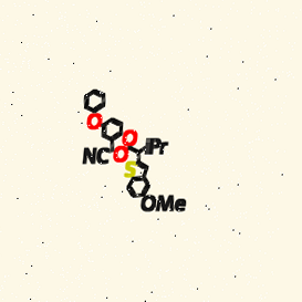 COc1ccc2sc(C(C(=O)OC(C#N)c3cccc(Oc4ccccc4)c3)C(C)C)cc2c1